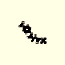 CC(NC(=O)OC(C)(C)C)C(=O)Oc1ccc([N+](=O)[O-])cc1